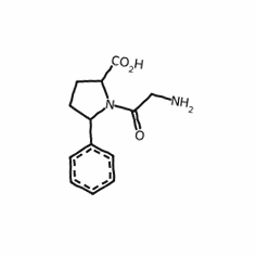 NCC(=O)N1C(C(=O)O)CCC1c1ccccc1